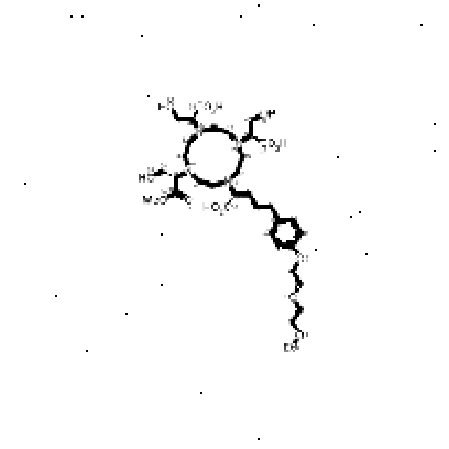 CCOCCOCCOc1ccc(CCC[C@H](C(=O)O)N2CCN([C@@H](CO)C(=O)O)CCN([C@@H](CO)C(=O)O)CCN([C@@H](CO)C(=O)OC)CC2)cc1